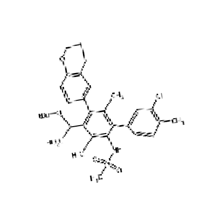 Cc1ccc(-c2c(C)c(-c3ccc4c(c3)CCCO4)c(C(OC(C)(C)C)C(=O)O)c(C)c2NS(C)(=O)=O)cc1Cl